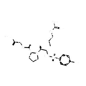 COC(=O)CNC(=O)[C@@H]1CCCN1C(=O)[C@H](CCCNC(=N)N)NS(=O)(=O)c1ccc(C)cc1